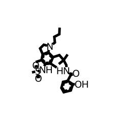 CCCCN1CCc2c(C)c(NS(C)(=O)=O)c(C)c(CC(C)(C)CNC(=O)c3ccccc3O)c21